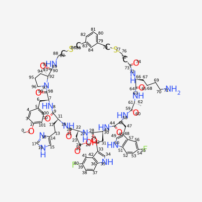 COc1ccc(C[C@@H]2NC(=O)[C@H](CCc3c[nH]cn3)NC(=O)[C@H](CC(=O)O)NC(=O)[C@H](CCc3c[nH]c4ccc(F)cc34)NC(=O)[C@H](Cc3c[nH]c4ccc(F)cc34)NC(=O)[C@@H](C)NC(=O)[C@H](CCCCN)NC(=O)CCSCc3cccc(c3)CSCCNC(=O)[C@]3(C)CCCN3C2=O)cc1